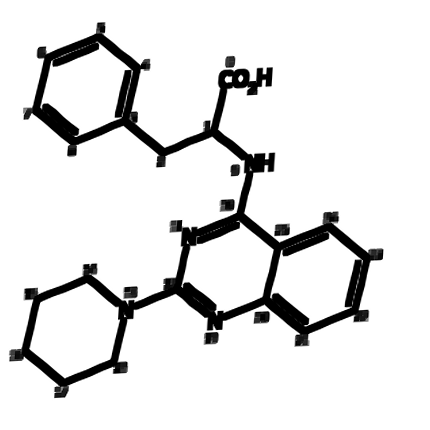 O=C(O)C(Cc1ccccc1)Nc1nc(N2CCCCC2)nc2ccccc12